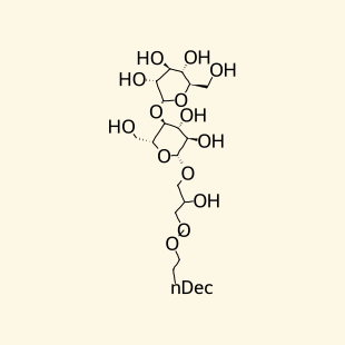 CCCCCCCCCCCCOOCC(O)CO[C@@H]1O[C@H](CO)[C@@H](O[C@H]2O[C@H](CO)[C@@H](O)[C@H](O)[C@H]2O)[C@H](O)[C@H]1O